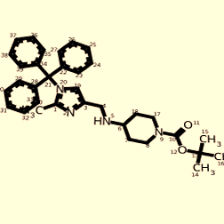 Cc1nc(CNC2CCN(C(=O)OC(C)(C)C)CC2)cn1C(c1ccccc1)(c1ccccc1)c1ccccc1